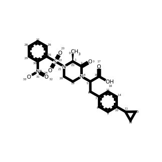 C[C@H]1C(=O)N(C(Cc2ccc(C3CC3)cc2)C(=O)O)CCN1S(=O)(=O)c1ccccc1[N+](=O)[O-]